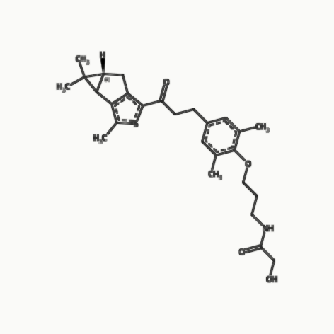 Cc1cc(CCC(=O)c2sc(C)c3c2C[C@@H]2C3C2(C)C)cc(C)c1OCCCNC(=O)CO